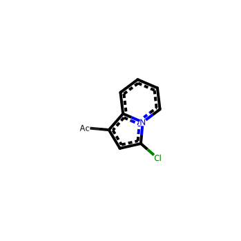 CC(=O)c1cc(Cl)n2ccccc12